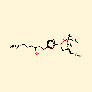 CCCCCC=CCC(O[Si](C)(C)C(C)(C)C)c1ccc(CCC(O)CCCC(=O)O)s1